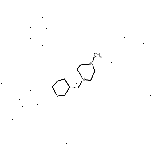 CN1CCN(C[C@H]2CCCNC2)CC1